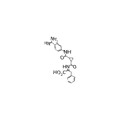 N=C(N)c1ccc(NC(=O)C2CC2C(=O)N[C@@H](Cc2ccccc2)C(=O)O)cc1